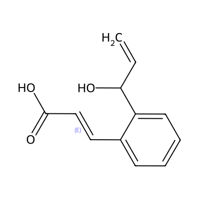 C=CC(O)c1ccccc1/C=C/C(=O)O